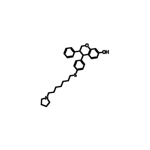 Oc1ccc2c(c1)OCC(c1ccccc1)C2c1ccc(SCCCCCCCN2CCCC2)cc1